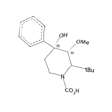 CO[C@@H]1C(C(C)(C)C)N(C(=O)O)CC[C@@]1(O)c1ccccc1